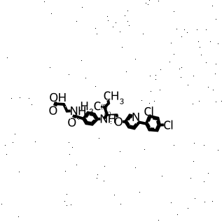 CC[C@H](C)[C@@H](COc1ccc(-c2ccc(Cl)cc2Cl)nc1)Nc1ccc(C(=O)NCCC(=O)O)cc1